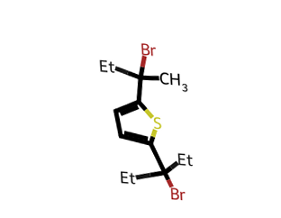 CCC(C)(Br)c1ccc(C(Br)(CC)CC)s1